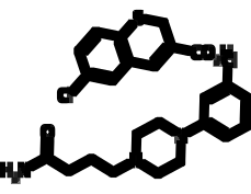 NC(=O)CCCN1CCN(c2cccc(Cl)c2)CC1.O=C(O)C1=Cc2cc(Cl)ccc2SC1